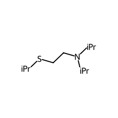 CC(C)SCCN(C(C)C)C(C)C